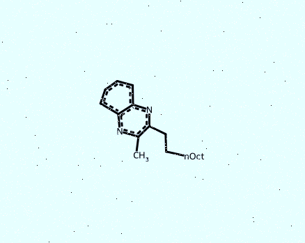 CCCCCCCCCCc1nc2ccccc2nc1C